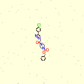 O=C(Cn1cnc(-c2ccc(Cl)cc2)c1)N1CCN(C(=O)OCc2ccccc2)CC1